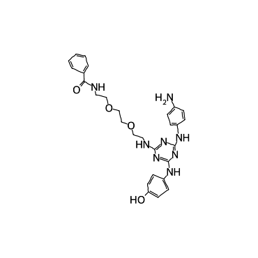 Nc1ccc(Nc2nc(NCCOCCOCCNC(=O)c3ccccc3)nc(Nc3ccc(O)cc3)n2)cc1